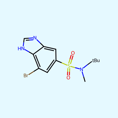 CN(C(C)(C)C)S(=O)(=O)c1cc(Br)c2[nH]cnc2c1